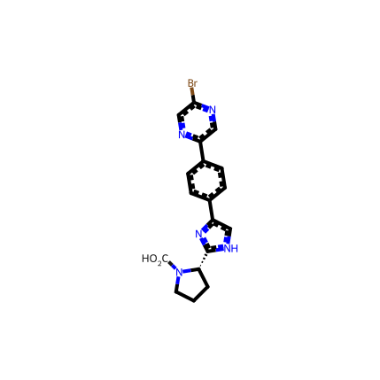 O=C(O)N1CCC[C@H]1c1nc(-c2ccc(-c3cnc(Br)cn3)cc2)c[nH]1